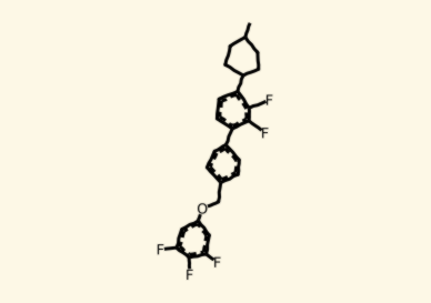 CC1CCC(c2ccc(-c3ccc(COc4cc(F)c(F)c(F)c4)cc3)c(F)c2F)CC1